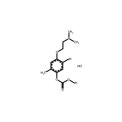 Cc1cc(OCCN(C)C)c(C(C)C)cc1OC(=O)OC(C)C.Cl